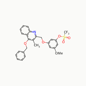 COc1cc(OCc2nc3ccccc3c(OCc3ccccc3)c2C)cc(OS(=O)(=O)C(F)(F)F)c1